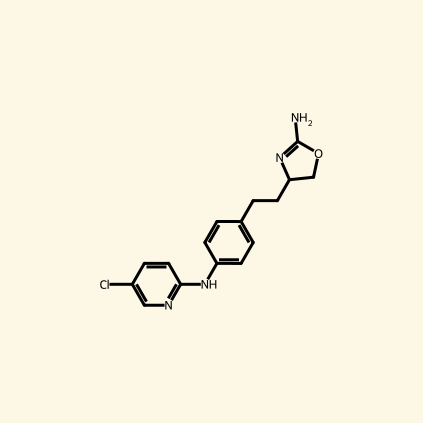 NC1=NC(CCc2ccc(Nc3ccc(Cl)cn3)cc2)CO1